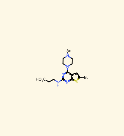 CCc1cc2c(N3CCN(C(C)=O)CC3)nc(NCCC(=O)O)nc2s1